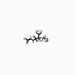 CC(C)=CCC(C)(C)C(OC=O)C(C)C